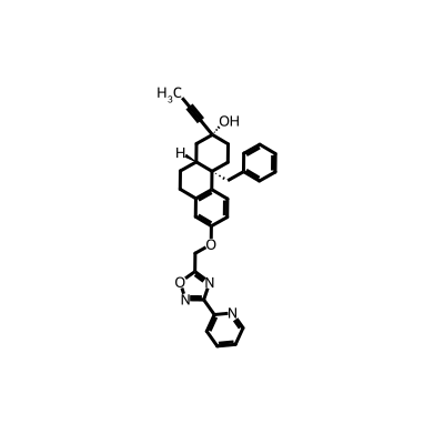 CC#C[C@@]1(O)CC[C@@]2(Cc3ccccc3)c3ccc(OCc4nc(-c5ccccn5)no4)cc3CC[C@@H]2C1